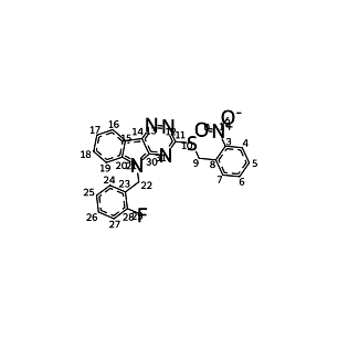 O=[N+]([O-])c1ccccc1CSc1nnc2c3ccccc3n(Cc3ccccc3F)c2n1